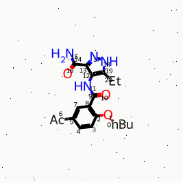 CCCCOc1ccc(C(C)=O)cc1C(=O)Nc1c(C(N)=O)n[nH]c1CC